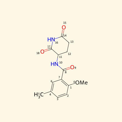 COc1ccc(C)cc1C(=O)NC1CCC(=O)NC1=O